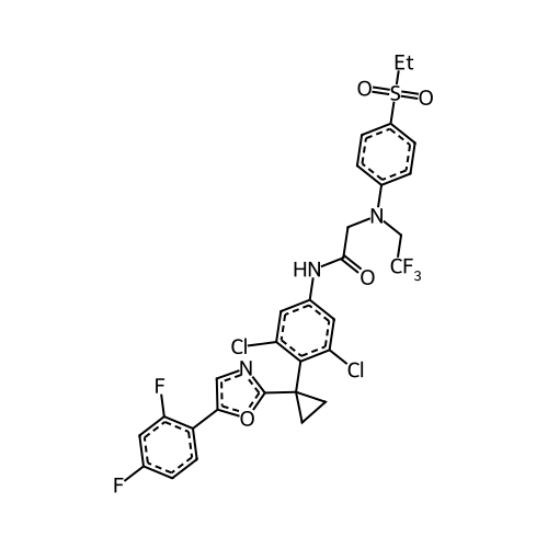 CCS(=O)(=O)c1ccc(N(CC(=O)Nc2cc(Cl)c(C3(c4ncc(-c5ccc(F)cc5F)o4)CC3)c(Cl)c2)CC(F)(F)F)cc1